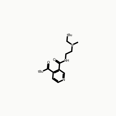 CN(CCNC(=O)c1cnccc1C(=O)C(C)(C)C)CC(C)(C)C